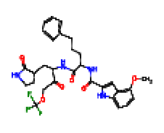 COc1cccc2[nH]c(C(=O)NC(CCCc3ccccc3)C(=O)NC(CC3CCNC3=O)C(=O)COC(F)(F)F)cc12